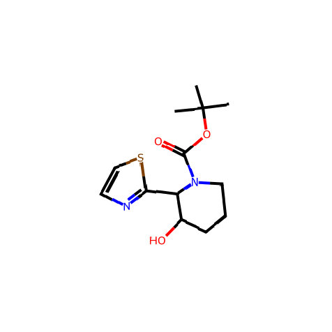 CC(C)(C)OC(=O)N1CCCC(O)C1c1nccs1